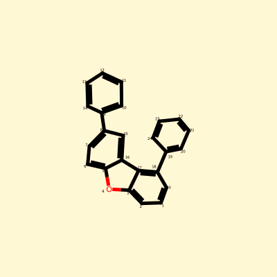 [c]1ccc2oc3ccc(-c4ccccc4)cc3c2c1-c1ccccc1